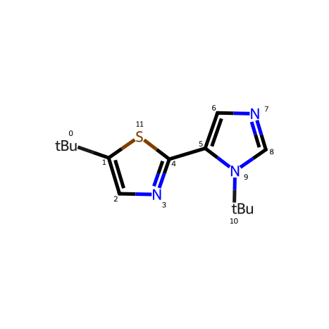 CC(C)(C)c1cnc(-c2cncn2C(C)(C)C)s1